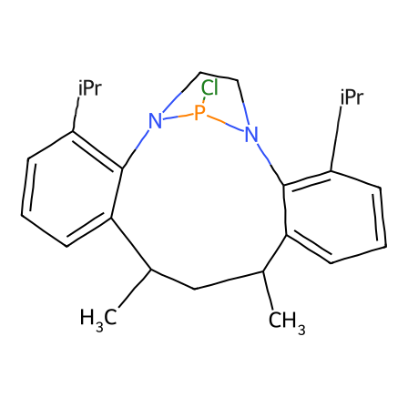 CC(C)c1cccc2c1N1CCN(c3c(C(C)C)cccc3C(C)CC2C)P1Cl